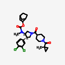 CN(C(=O)OC1CC2CCC1C2)[C@H]1CN(C(=O)C2CCN(C(=O)C3(C)CC3)CC2)C[C@@H]1c1ccc(Cl)c(Cl)c1